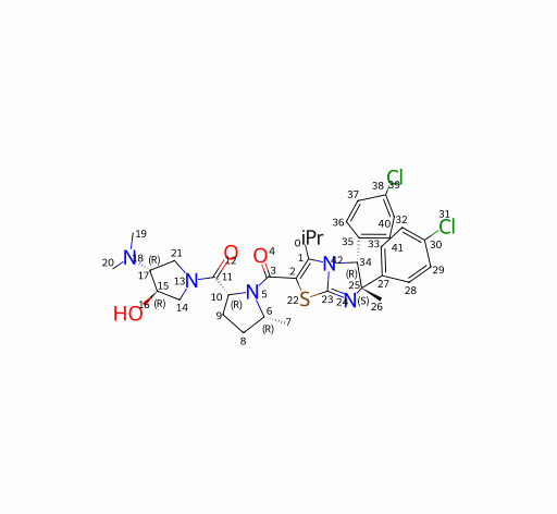 CC(C)C1=C(C(=O)N2[C@H](C)CC[C@@H]2C(=O)N2C[C@@H](O)[C@H](N(C)C)C2)SC2=N[C@@](C)(c3ccc(Cl)cc3)[C@@H](c3ccc(Cl)cc3)N21